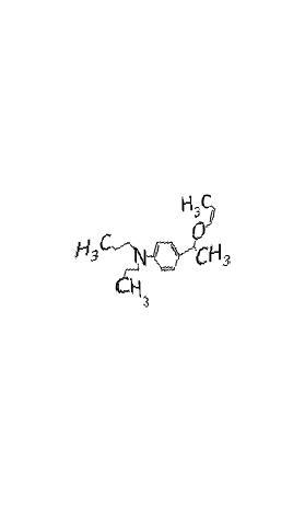 C/C=C\OC(C)c1ccc(N(CCC)CCC)cc1